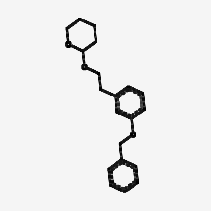 c1ccc(COc2cccc(CCOC3CCCCO3)c2)cc1